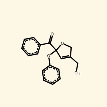 O=C(c1ccccc1)C1(Oc2ccccc2)C=C(CO)CO1